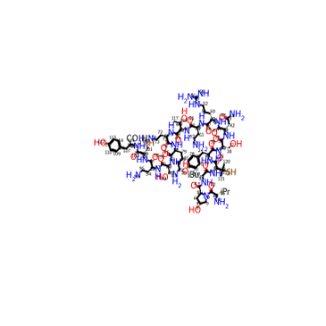 CC[C@H](C)[C@H](NC(=O)[C@@H]1C[C@@H](O)CN1C(=O)[C@@H](N)C(C)C)C(=O)N[C@H](C(=O)N[C@@H](Cc1ccc(O)cc1)C(=O)N[C@@H](CO)C(=O)N[C@@H](CC(N)=O)C(=O)N[C@@H](CCCNC(=N)N)C(=O)N[C@@H](CCN)C(=O)N[C@H](C(=O)N[C@H](CCN)C(=O)N[C@@H](CCCCN)C(=O)N[C@@H](CO)C(=O)N[C@@H](CCN)C(=O)N[C@@H](CS)C(=O)N[C@@H](Cc1ccc(O)cc1)C(=O)O)[C@@H](C)O)C(C)(C)S